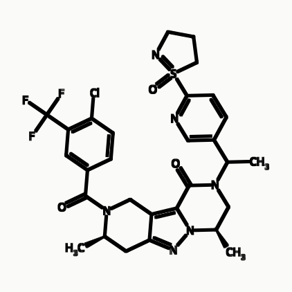 CC(c1ccc(S2(=O)=NCCC2)nc1)N1C[C@@H](C)n2nc3c(c2C1=O)CN(C(=O)c1ccc(Cl)c(C(F)(F)F)c1)[C@H](C)C3